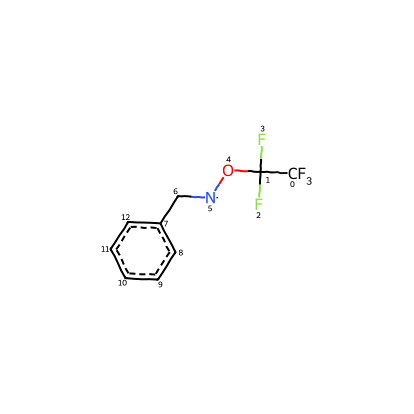 FC(F)(F)C(F)(F)O[N]Cc1ccccc1